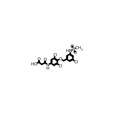 CS(=O)(=O)Nc1cc(Cl)cc(COc2c(Cl)cc(NC(=O)CC(=O)O)cc2Cl)c1